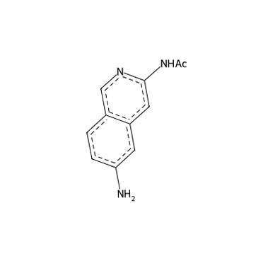 CC(=O)Nc1cc2cc(N)ccc2cn1